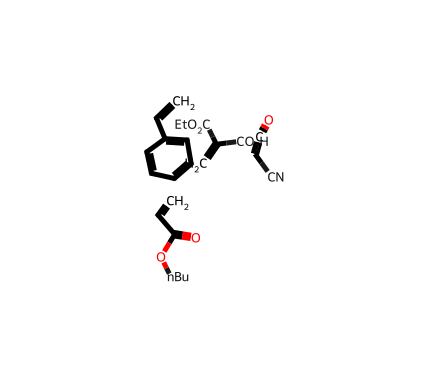 C=C(C(=O)O)C(=O)OCC.C=CC(=O)OCCCC.C=Cc1ccccc1.N#CC=C=O